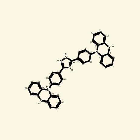 C1=CC(N2c3ccccc3Sc3ccccc32)CC=C1c1nc(-c2ccc(N3c4ccccc4Sc4ccccc43)cc2)ns1